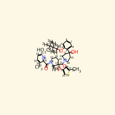 [2H]C([2H])(Oc1ccccc1C1(O)CCN(C(=O)[C@]2(Oc3csc(C)c3)CCCN(C(=O)c3ncccc3C(F)(F)F)[C@@H]2CCC)CC1)C([2H])([2H])C([2H])([2H])C(=O)O